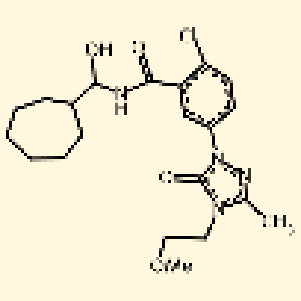 COCCn1c(C)nn(-c2ccc(Cl)c(C(=O)NC(O)C3CCCCCC3)c2)c1=O